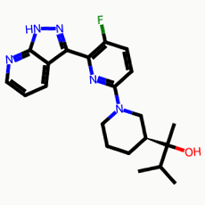 CC(C)C(C)(O)[C@H]1CCCN(c2ccc(F)c(-c3n[nH]c4ncccc34)n2)C1